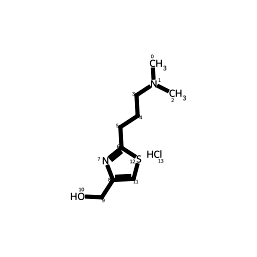 CN(C)CCCc1nc(CO)cs1.Cl